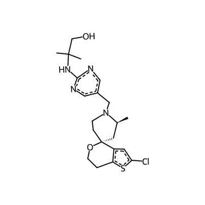 C[C@H]1C[C@@]2(CCN1Cc1cnc(NC(C)(C)CO)nc1)OCCc1sc(Cl)cc12